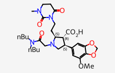 CCCCN(CCCC)C(=O)CN1C[C@H](c2cc(OC)c3c(c2)OCO3)[C@@H](C(=O)O)[C@@H]1CCN1C(=O)CCN(C)C1=O